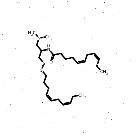 CC/C=C\C/C=C\CCCSSCC(CN(C)C)NC(=O)CCC/C=C\C/C=C\CC